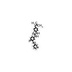 CC(C)Cc1ccc(NC(=O)Nc2ccc(F)c(COc3cccnc3)c2)cc1